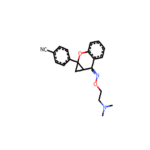 CN(C)CCON=C1c2ccccc2OC2(c3ccc(C#N)cc3)CC12